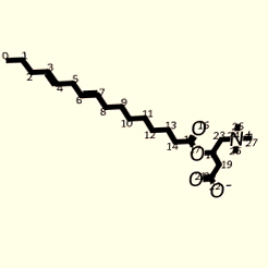 CCCC=CCC=CCCCCCCCC(=O)OC(CC(=O)[O-])C[N+](C)(C)C